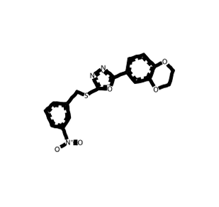 O=[N+]([O-])c1cccc(CSc2nnc(-c3ccc4c(c3)OCCO4)o2)c1